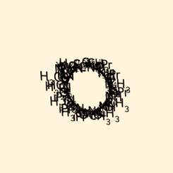 CC[C@@H]1NC(=O)[C@H]([C@H](O)[C@H](C)CC2=NCCN2)N(C)C(=O)[C@H](C(C)C)N(C)C(=O)[C@H](CC(C)C)N(C)C(=O)[C@H](CC(C)C)N(C)C(=O)[C@@H](C)NC(=O)[C@H](C)NC(=O)[C@H](CC(C)C)N(C)C(=O)[C@H](C(C)C)NC(=O)[C@H](CC(C)C)N(C)C(=O)CN(C)C1=O